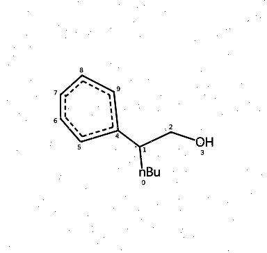 CCCC[C](CO)c1ccccc1